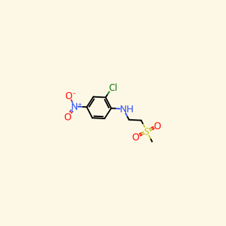 CS(=O)(=O)CCNc1ccc([N+](=O)[O-])cc1Cl